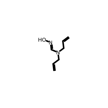 C=CCN(C=NO)CC=C